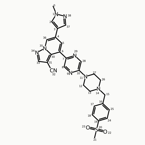 Cn1cc(-c2cc(-c3cnc(N4CCN(Cc5ccc(S(C)(=O)=O)cc5)CC4)cn3)c3c(C#N)cnn3c2)cn1